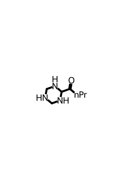 CCCC(=O)C1NCNCN1